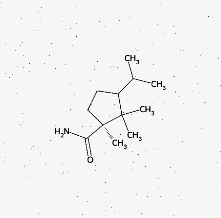 CC(C)C1CC[C@](C)(C(N)=O)C1(C)C